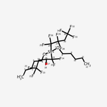 CCCCC[O][Sn]([O]CCCCC)([C](F)(F)C(F)(F)CC(F)(F)F)[C](F)(F)C(F)(F)CC(F)(F)F